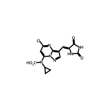 O=C1NC(=O)C(=Cc2cnn3c(N(C(=O)O)C4CC4)cc(Cl)nc23)N1